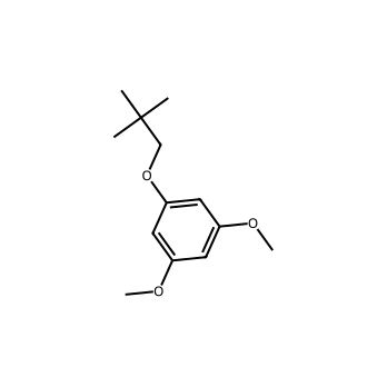 COc1cc(OC)cc(OCC(C)(C)C)c1